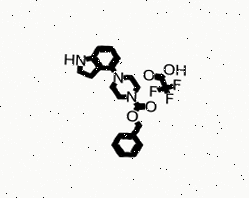 O=C(O)C(F)(F)F.O=C(OCc1ccccc1)N1CCN(c2cccc3c2CCN3)CC1